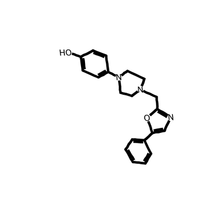 Oc1ccc(N2CCN(Cc3ncc(-c4ccccc4)o3)CC2)cc1